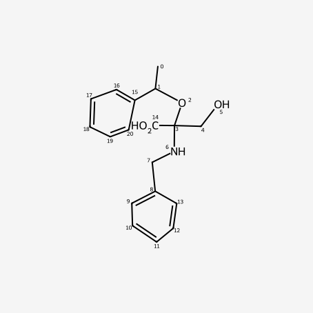 CC(OC(CO)(NCc1ccccc1)C(=O)O)c1ccccc1